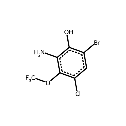 Nc1c(O)c(Br)cc(Cl)c1OC(F)(F)F